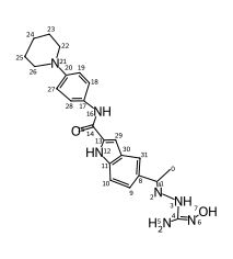 C/C(=N\N/C(N)=N\O)c1ccc2[nH]c(C(=O)Nc3ccc(N4CCCCC4)cc3)cc2c1